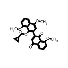 COc1cccc2c1C(=O)C(c1cc(OC)c3cccc(OC)c3c1OC(=O)C1CC1)=CC2=O